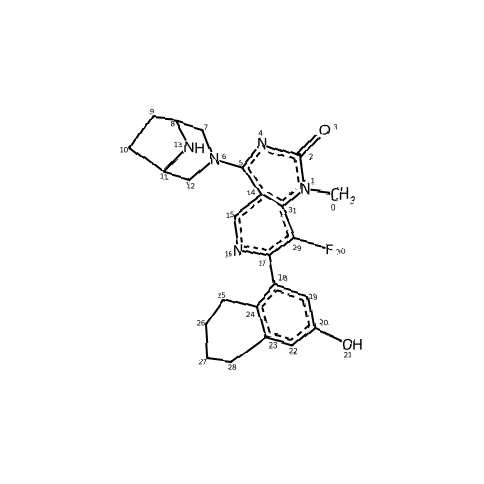 Cn1c(=O)nc(N2CC3CCC(C2)N3)c2cnc(-c3cc(O)cc4c3CCCC4)c(F)c21